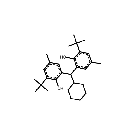 Cc1cc(C(c2cc(C)cc(C(C)(C)C)c2O)C2CCCCC2)c(O)c(C(C)(C)C)c1